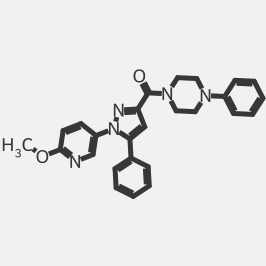 COc1ccc(-n2nc(C(=O)N3CCN(c4ccccc4)CC3)cc2-c2ccccc2)cn1